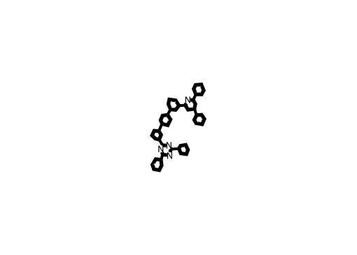 c1ccc(-c2cc(-c3ccccc3)nc(-c3cccc(-c4ccc(-c5cccc(-c6nc(-c7ccccc7)nc(-c7ccccc7)n6)c5)cc4)c3)c2)cc1